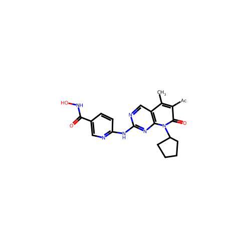 CC(=O)c1c(C)c2cnc(Nc3ccc(C(=O)NO)cn3)nc2n(C2CCCC2)c1=O